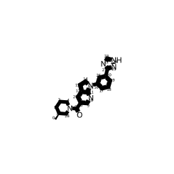 C[C@H]1CCCN(C(=O)c2cnc3c(ccn3-c3cccc(-c4nc[nH]n4)c3)c2)C1